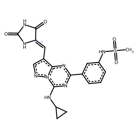 CS(=O)(=O)Nc1cccc(-c2nc(NC3CC3)n3ncc(/C=C4\NC(=O)NC4=O)c3n2)c1